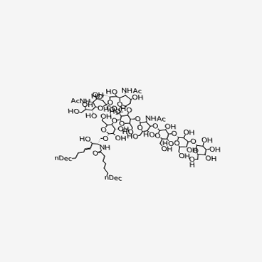 CCCCCCCCCCCCC/C=C/[C@@H](O)[C@H](CO[C@@H]1OC(CO)[C@@H](O[C@@H]2OC(CO)[C@H](O[C@@H]3OC(CO)[C@H](O)[C@H](O[C@@H]4OC(CO)[C@H](O)[C@H](O[C@H]5OC(CO)[C@H](O)[C@H](O[C@H]6OC(CO)[C@H](O)[C@H](O)C6O)C5O)C4O)C3NC(C)=O)[C@H](O[C@]3(C(=O)O)CC(O)[C@@H](NC(C)=O)C([C@H](O)[C@@H](CO)O[C@]4(C(=O)O)CC(O)[C@@H](NC(C)=O)C([C@H](O)[C@H](O)CO)O4)O3)C2O)[C@H](O)C1O)NC(=O)CCCCCCCCCCCCCCC